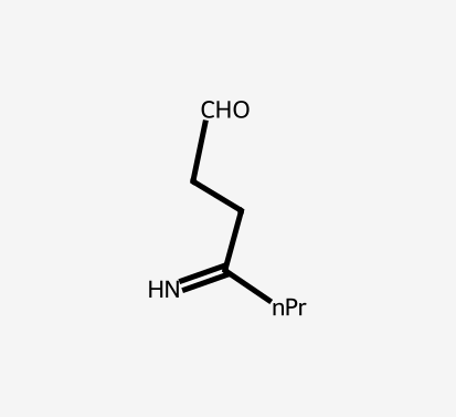 C[CH]CC(=N)CCC=O